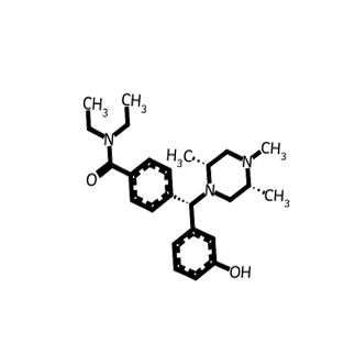 CCN(CC)C(=O)c1ccc([C@@H](c2cccc(O)c2)N2C[C@@H](C)N(C)C[C@H]2C)cc1